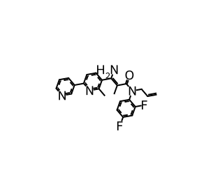 C=CCN(C(=O)/C(C)=C(\N)c1ccc(-c2cccnc2)nc1C)c1ccc(F)cc1F